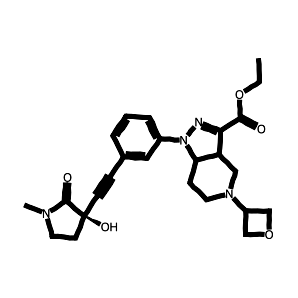 CCOC(=O)C1=NN(c2cccc(C#C[C@]3(O)CCN(C)C3=O)c2)C2CCN(C3COC3)CC12